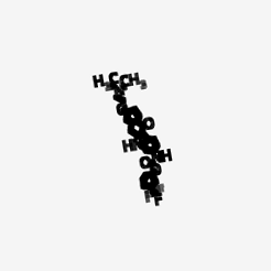 CCN(CC)CCOc1ccc2c(c1)Cc1[nH]c3cc(NC(=O)Oc4cccc(C(F)(F)F)c4)ccc3c1C2=O